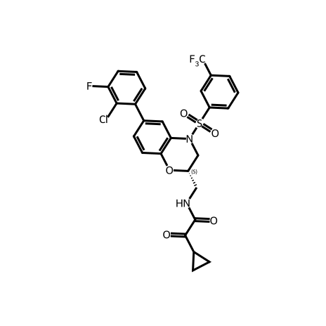 O=C(NC[C@H]1CN(S(=O)(=O)c2cccc(C(F)(F)F)c2)c2cc(-c3cccc(F)c3Cl)ccc2O1)C(=O)C1CC1